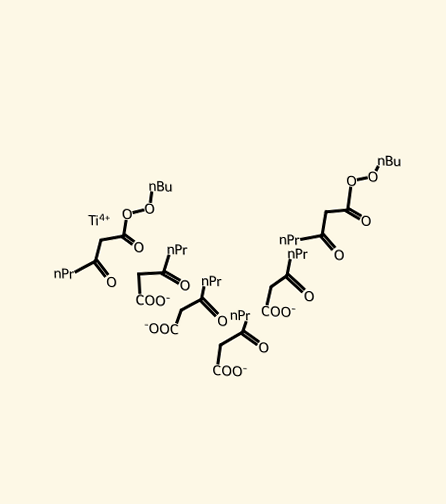 CCCC(=O)CC(=O)[O-].CCCC(=O)CC(=O)[O-].CCCC(=O)CC(=O)[O-].CCCC(=O)CC(=O)[O-].CCCCOOC(=O)CC(=O)CCC.CCCCOOC(=O)CC(=O)CCC.[Ti+4]